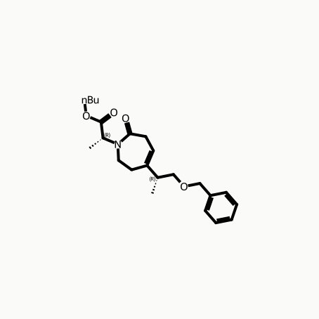 CCCCOC(=O)[C@@H](C)N1CCC([C@@H](C)COCc2ccccc2)=CCC1=O